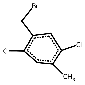 Cc1cc(Cl)c(CBr)cc1Cl